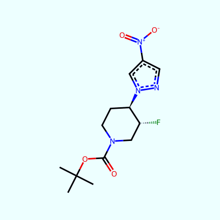 CC(C)(C)OC(=O)N1CC[C@@H](n2cc([N+](=O)[O-])cn2)[C@H](F)C1